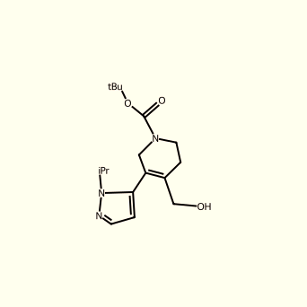 CC(C)n1nccc1C1=C(CO)CCN(C(=O)OC(C)(C)C)C1